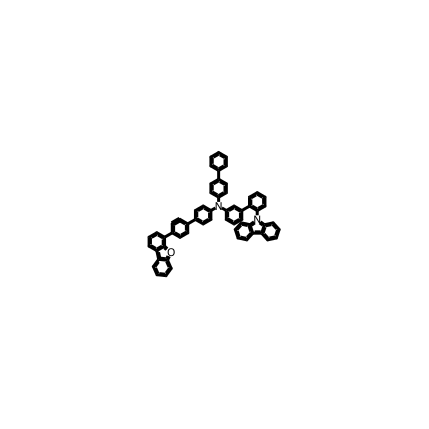 c1c(-c2ccc(N(c3ccc(-c4ccccc4)cc3)c3cccc(-c4ccccc4-n4c5ccccc5c5ccccc54)c3)cc2)ccc(-c2cccc3c2oc2ccccc23)c#1